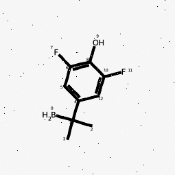 BC(C)(C)c1cc(F)c(O)c(F)c1